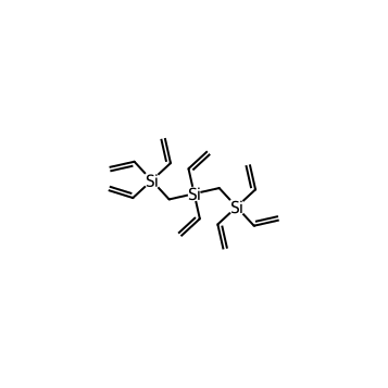 C=C[Si](C=C)(C=C)C[Si](C=C)(C=C)C[Si](C=C)(C=C)C=C